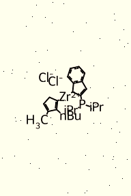 CCCCC1=[C]([Zr+2][CH]2C(P(C(C)C)C(C)C)=Cc3ccccc32)CC=C1C.[Cl-].[Cl-]